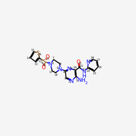 Nc1ncc(N2CCN(S(=O)(=O)c3cccs3)CC2)nc1C(=O)Nc1ccccn1